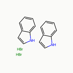 Br.Br.c1ccc2[nH]ccc2c1.c1ccc2[nH]ccc2c1